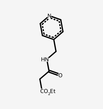 CCOC(=O)CC(=O)NCc1ccncc1